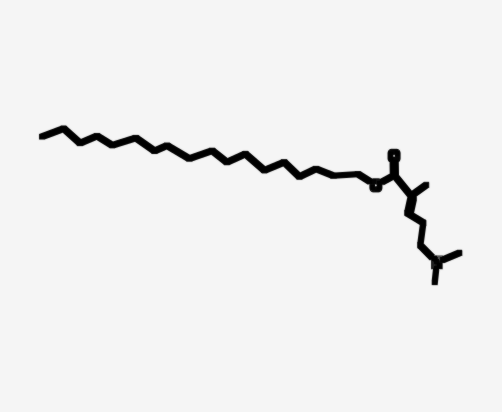 CCCCCCCCCCCCCCCCCCOC(=O)C(C)=CCCN(C)C